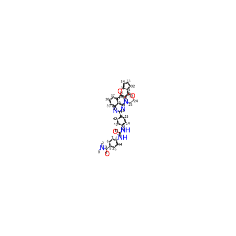 CN(C)C(=O)c1ccc(NC(=O)Nc2ccc(-c3nc(N4CCOCC4)c4c(-c5ccc6cccc-6o5)cccc4n3)cc2)cc1